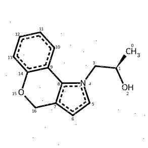 C[C@@H](O)Cn1ccc2c1-c1ccccc1OC2